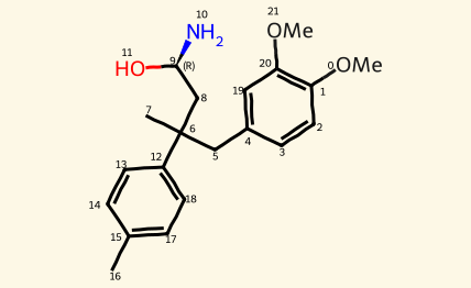 COc1ccc(CC(C)(C[C@H](N)O)c2ccc(C)cc2)cc1OC